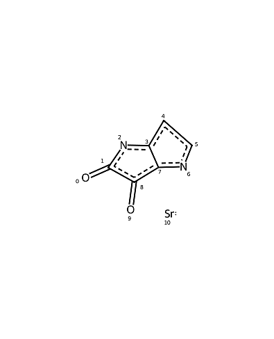 O=c1nc2ccnc-2c1=O.[Sr]